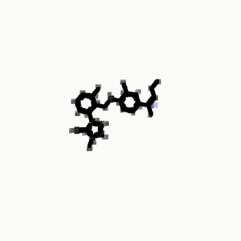 CC/C=C(/C)c1ccc(OCc2c(C)cccc2-n2nnn(C)c2=O)c(C)c1